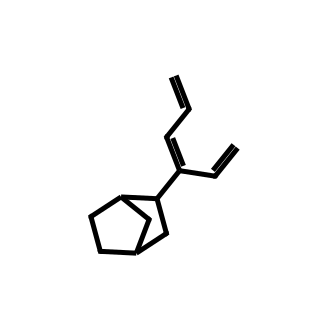 C=CC=C(C=C)C1CC2CCC1C2